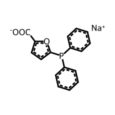 O=C([O-])c1ccc(P(c2ccccc2)c2ccccc2)o1.[Na+]